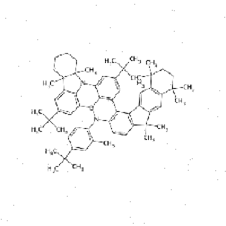 Cc1cc(C(C)(C)C)ccc1N1B2c3cc(C(C)(C)C)cc4c3N(c3cc(C(C)(C)C)cc(c32)-c2c1ccc1c2-c2cc3c(cc2C1(C)C)C(C)(C)CCC3(C)C)C1(C)CCCCC41C